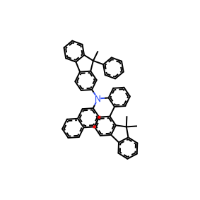 CC1(C)c2ccccc2-c2cccc(-c3ccccc3N(c3ccc4c(c3)C(C)(c3ccccc3)c3ccccc3-4)c3ccc4ccccc4c3)c21